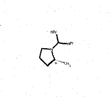 CCCC(CCC)N1CCC[C@H]1C